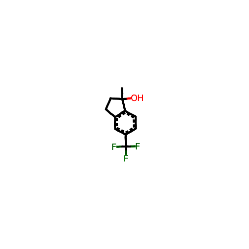 CC1(O)CCc2cc(C(F)(F)F)ccc21